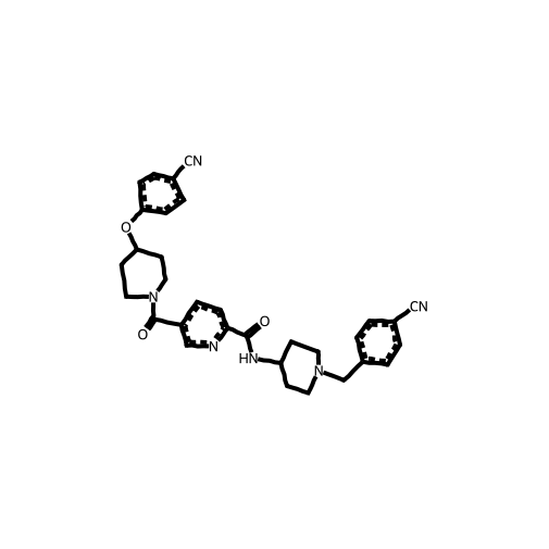 N#Cc1ccc(CN2CCC(NC(=O)c3ccc(C(=O)N4CCC(Oc5ccc(C#N)cc5)CC4)cn3)CC2)cc1